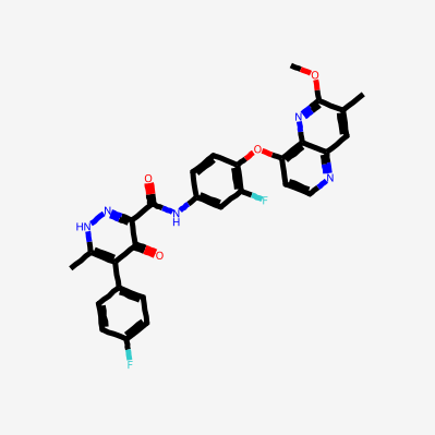 COc1nc2c(Oc3ccc(NC(=O)c4n[nH]c(C)c(-c5ccc(F)cc5)c4=O)cc3F)ccnc2cc1C